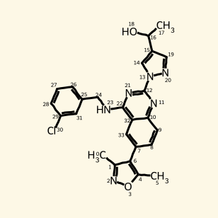 Cc1noc(C)c1-c1ccc2nc(-n3cc(C(C)O)cn3)nc(NCc3cccc(Cl)c3)c2c1